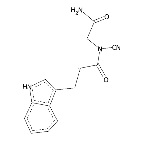 N#CN(CC(N)=O)C(=O)[CH]Cc1c[nH]c2ccccc12